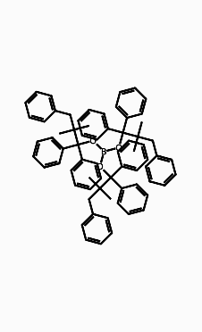 CC(C)(Cc1ccccc1)C(OB(OC(c1ccccc1)(c1ccccc1)C(C)(C)Cc1ccccc1)OC(c1ccccc1)(c1ccccc1)C(C)(C)Cc1ccccc1)(c1ccccc1)c1ccccc1